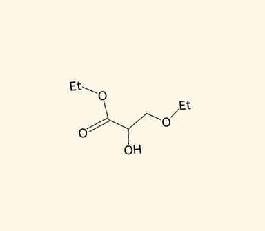 CCOCC(O)C(=O)OCC